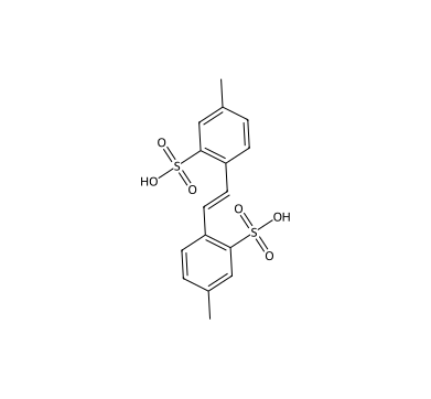 Cc1ccc(/C=C/c2ccc(C)cc2S(=O)(=O)O)c(S(=O)(=O)O)c1